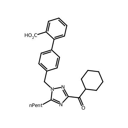 CCCCCc1nc(C(=O)C2CCCCC2)nn1Cc1ccc(-c2ccccc2C(=O)O)cc1